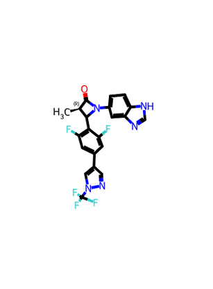 C[C@H]1C(=O)N(c2ccc3[nH]cnc3c2)C1c1c(F)cc(-c2cnn(C(F)(F)F)c2)cc1F